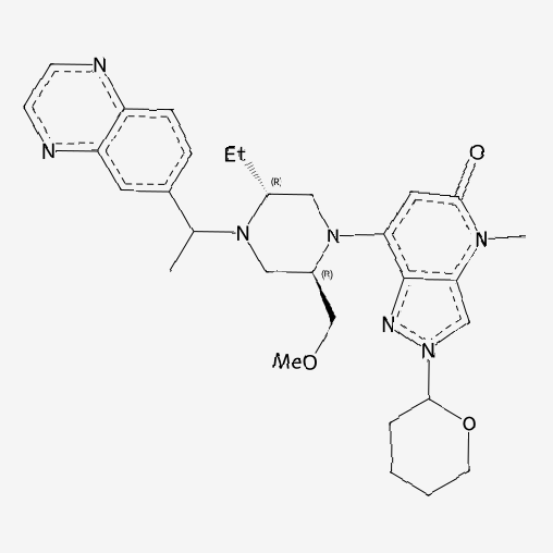 CC[C@@H]1CN(c2cc(=O)n(C)c3cn(C4CCCCO4)nc23)[C@@H](COC)CN1C(C)c1ccc2nccnc2c1